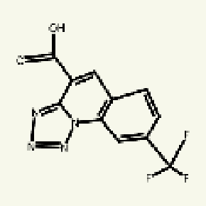 O=C(O)c1cc2ccc(C(F)(F)F)cc2n2nnnc12